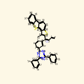 C=C/C=C(/c1cccc(-c2nc(-c3ccccc3)nc(-c3ccccc3)n2)c1)c1sc2ccc3c4ccccc4sc3c2c1C